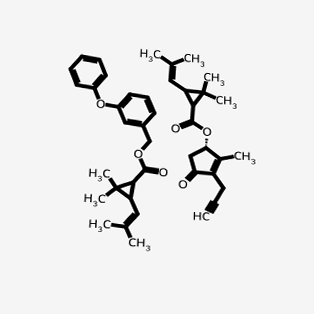 C#CCC1=C(C)[C@@H](OC(=O)C2C(C=C(C)C)C2(C)C)CC1=O.CC(C)=CC1C(C(=O)OCc2cccc(Oc3ccccc3)c2)C1(C)C